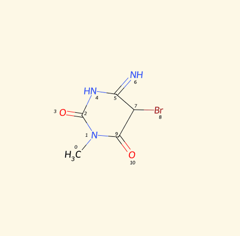 CN1C(=O)NC(=N)C(Br)C1=O